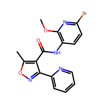 COc1nc(Br)ccc1NC(=O)c1c(-c2ccccn2)noc1C